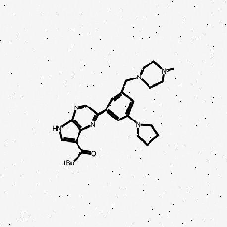 CN1CCN(Cc2cc(-c3cnc4[nH]cc(C(=O)C(C)(C)C)c4n3)cc(N3CCCC3)c2)CC1